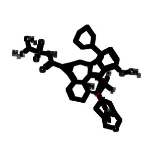 COc1ccc(C2CCCCC2)c2c1cc1n2CC2=C(C(=O)NS(=O)(=O)C(C)C)C2=C2C=CC[C@@H](C(=O)N3CC45COCC4(CN(CC(F)(F)F)C5)C3)[C@@H]21